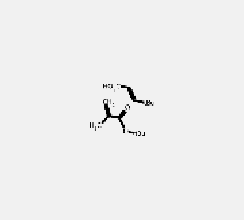 C=C(C)C(=O)OC(C)(C)C.CC(C)(C)C=CC(=O)O